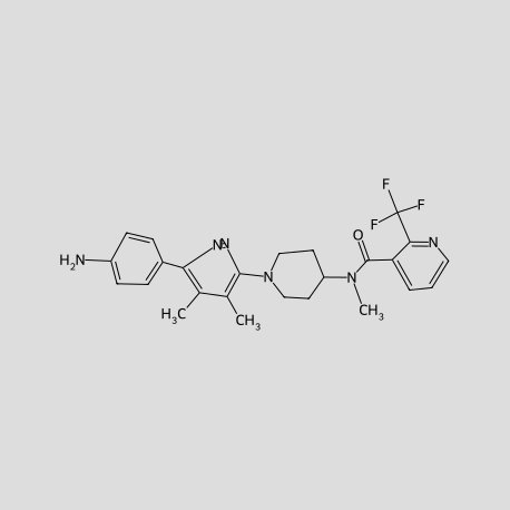 Cc1c(-c2ccc(N)cc2)nnc(N2CCC(N(C)C(=O)c3cccnc3C(F)(F)F)CC2)c1C